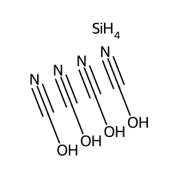 N#CO.N#CO.N#CO.N#CO.[SiH4]